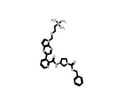 C[Si](C)(C)CCOCn1ccc2nc(-c3cccnc3C(=O)N[C@H]3CCN(C(=O)OCc4ccccc4)C3)cnc21